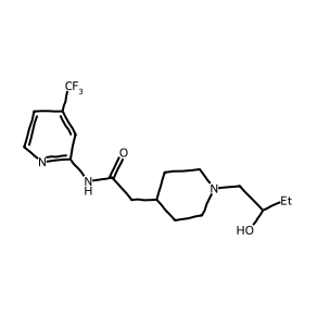 CCC(O)CN1CCC(CC(=O)Nc2cc(C(F)(F)F)ccn2)CC1